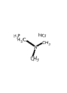 CN(C)C.Cl.P